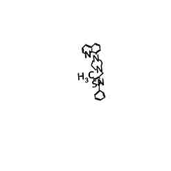 Cc1sc(-c2ccccc2)nc1CN1CCCN(c2cccc3cccnc23)CC1